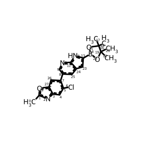 Cc1nc2cc(Cl)c(-c3cnc4[nH]c(B5OC(C)(C)C(C)(C)O5)cc4c3)cc2o1